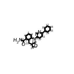 NC(=O)c1cccc(Nc2ccc(-c3ccccc3)nn2)c1CC1COC1